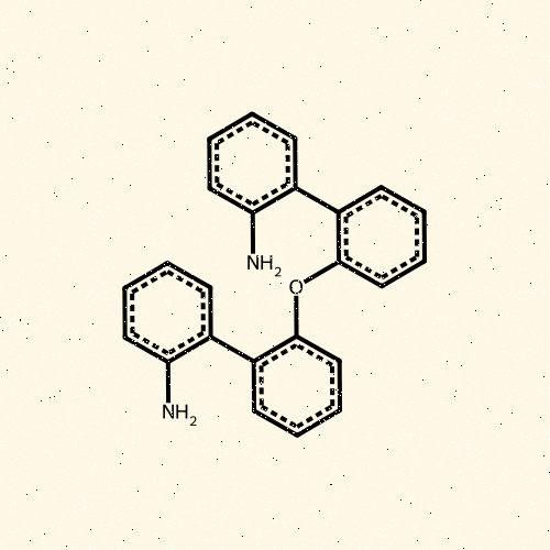 Nc1ccccc1-c1ccccc1Oc1ccccc1-c1ccccc1N